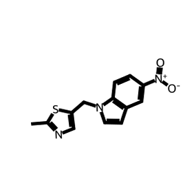 Cc1ncc(Cn2ccc3cc([N+](=O)[O-])ccc32)s1